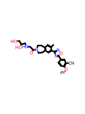 Cc1cc2c(cc1-c1noc(-c3ccc(OC(C)C)c(C#N)c3)n1)CCN(C(=O)CNCC(O)CO)CC2